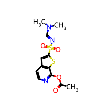 CC(=O)Oc1nccc2cc(S(=O)(=O)N=CN(C)C)sc12